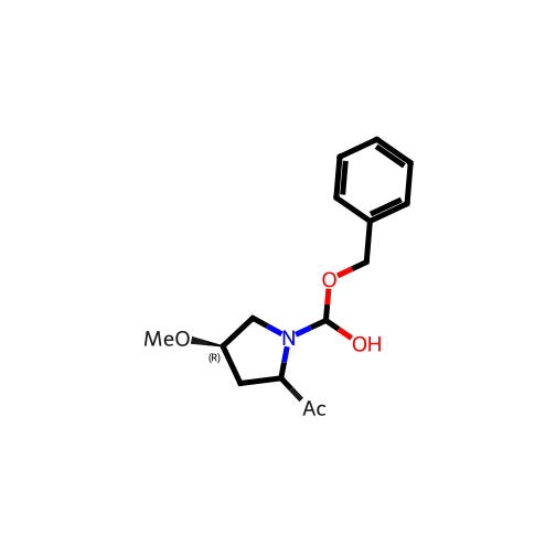 CO[C@@H]1CC(C(C)=O)N(C(O)OCc2ccccc2)C1